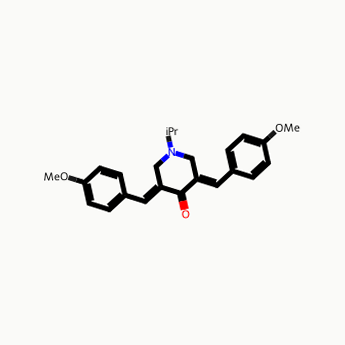 COc1ccc(C=C2CN(C(C)C)CC(=Cc3ccc(OC)cc3)C2=O)cc1